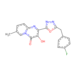 Cc1ccc2nc(-c3nnc(Cc4ccc(F)cc4)o3)c(O)c(=O)n2c1